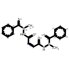 CN(NC(=O)/C=C\C(=O)NN(C)C(=S)c1ccccc1)C(=S)c1ccccc1